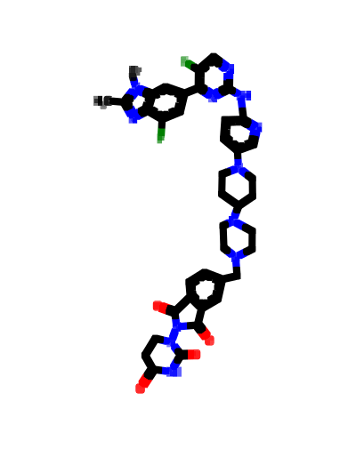 Cc1nc2c(F)cc(-c3nc(Nc4ccc(N5CCC(N6CCN(Cc7ccc8c(c7)C(=O)N(N7CCC(=O)NC7=O)C8=O)CC6)CC5)cn4)ncc3F)cc2n1C(C)C